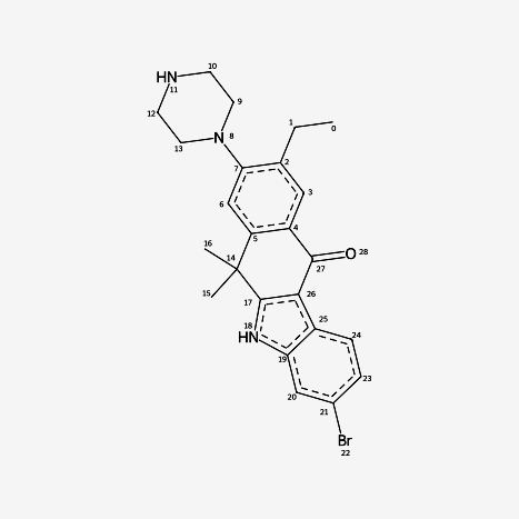 CCc1cc2c(cc1N1CCNCC1)C(C)(C)c1[nH]c3cc(Br)ccc3c1C2=O